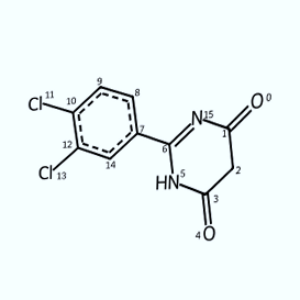 O=C1CC(=O)NC(c2ccc(Cl)c(Cl)c2)=N1